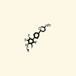 CCCC1CCC(c2ccc(-c3c(F)c(F)c(N=C=S)c(F)c3F)cc2)OC1